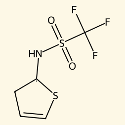 O=S(=O)(N[C]1CC=CS1)C(F)(F)F